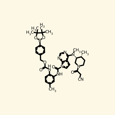 Cc1ccc(NC(=O)OCc2ccc(B3OC(C)(C)C(C)(C)O3)cc2)c(NC(=O)n2ccc3c(N(C)[C@H]4CN(C(=O)CC#N)CC[C@H]4C)ncnc32)c1